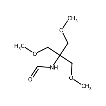 COCC(COC)(COC)NC=O